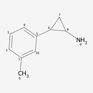 Cc1cccc(C2CC2N)c1